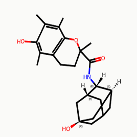 Cc1c(C)c2c(c(C)c1O)CCC(C)(C(=O)N[C@H]1[C@@H]3CC4C[C@H]1C[C@](O)(C4)C3)O2